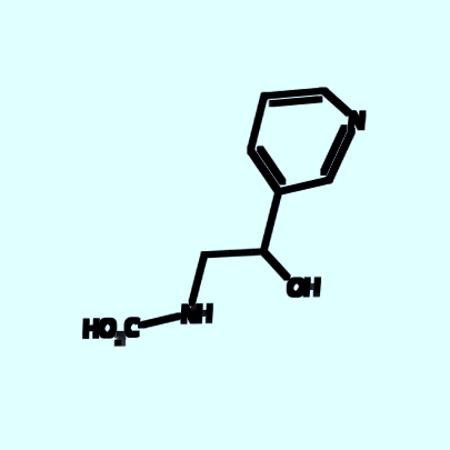 O=C(O)NCC(O)c1cccnc1